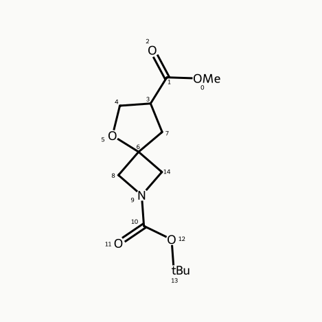 COC(=O)C1COC2(C1)CN(C(=O)OC(C)(C)C)C2